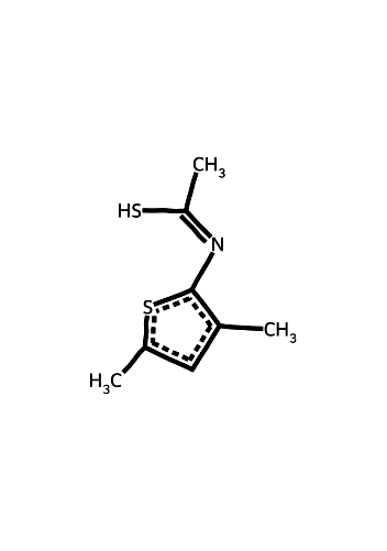 C/C(S)=N/c1sc(C)cc1C